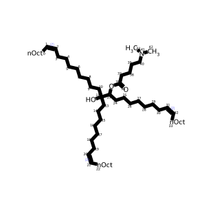 CCCCCCCC/C=C\CCCCCCCCC(O)(CCCCCCC/C=C\CCCCCCCC)C(CCCCCCC/C=C\CCCCCCCC)OC(=O)CCCCN(C)C